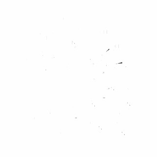 C=C[C@@]1(O)[C@@H](COC(Cc2cccc(C(=O)O)c2)(C(=O)O)c2cscn2)O[C@@H](n2cnc3c(N)nc(Cl)nc32)[C@@H]1O